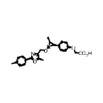 Cc1ccc(-c2nc(CON3C(C)C3c3ccc(OCC(=O)O)cc3)c(C)o2)cc1